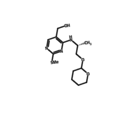 CSc1ncc(CO)c(N[C@H](C)COC2CCCCO2)n1